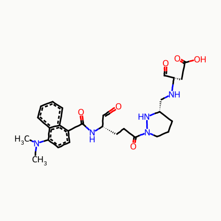 CN(C)c1ccc(C(=O)N[C@H](C=O)CCC(=O)N2CCC[C@@H](CN[C@H](C=O)CC(=O)O)N2)c2ccccc12